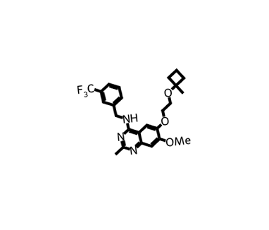 COc1cc2nc(C)nc(NCc3cccc(C(F)(F)F)c3)c2cc1OCCOC1(C)CCC1